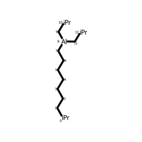 CC(C)CCCCCC[CH2][Al]([CH2]C(C)C)[CH2]C(C)C